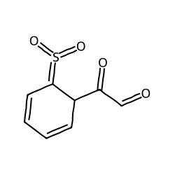 O=CC(=O)C1C=CC=CC1=S(=O)=O